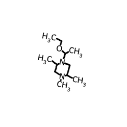 CCOC(C)N1CC(C)N(C)CC1C